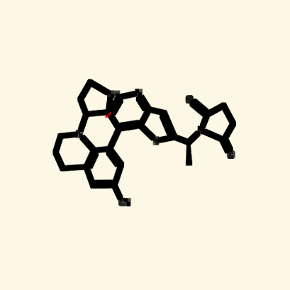 C[C@@H](c1cc2nccc(-c3cc(C#N)cc4c3N(C3CCNC3)CCC4)c2s1)N1C(=O)CCC1=O